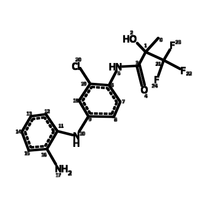 CC(O)(C(=O)Nc1ccc(Nc2ccccc2N)cc1Cl)C(F)(F)F